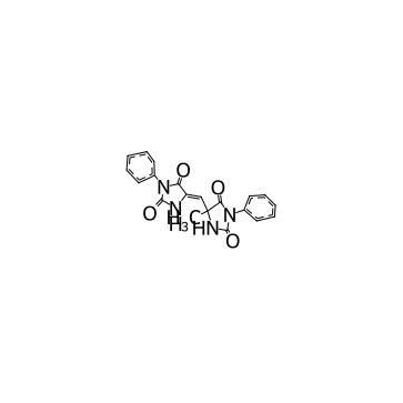 CC1(C=C2NC(=O)N(c3ccccc3)C2=O)NC(=O)N(c2ccccc2)C1=O